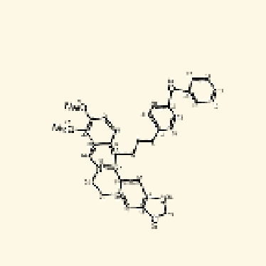 COc1ccc2c(CCCc3ccc(Oc4ccccc4)cc3)c3[n+](cc2c1OC)CCc1cc2c(cc1-3)OCO2